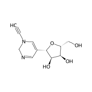 C#CN1C=C([C@@H]2O[C@H](CO)[C@@H](O)[C@H]2O)C=NC1